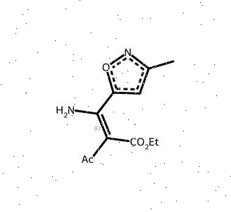 CCOC(=O)/C(C(C)=O)=C(/N)c1cc(C)no1